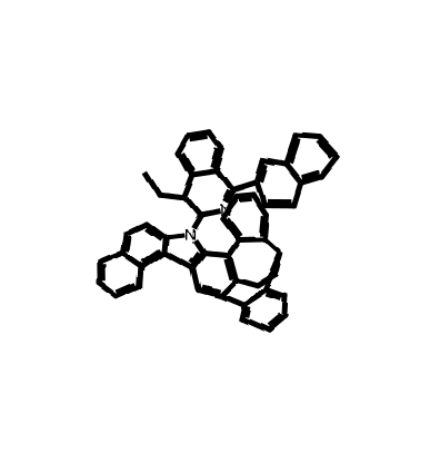 CCC1c2ccccc2C(c2ccc3ccccc3c2)=NC1n1c2ccc3ccccc3c2c2cc3c4c(c21)-c1ccccc1C(CC4)c1ccccc1-3